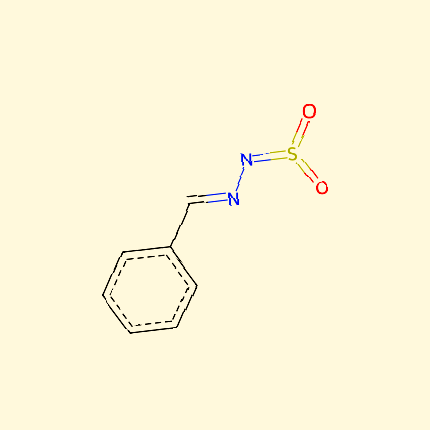 O=S(=O)=NN=Cc1ccccc1